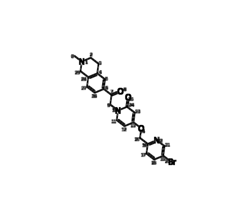 CN1CCc2cc(C(=O)Cn3ccc(OCc4ccc(Br)cn4)cc3=O)ccc2C1